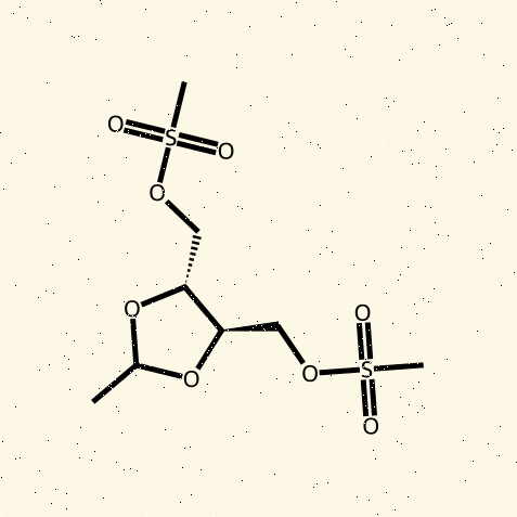 CC1O[C@H](COS(C)(=O)=O)[C@@H](COS(C)(=O)=O)O1